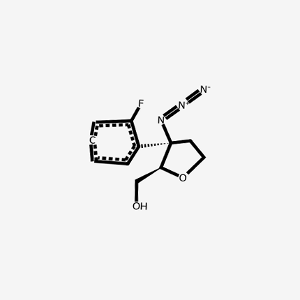 [N-]=[N+]=N[C@@]1(c2ccccc2F)CCO[C@H]1CO